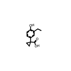 CCc1cc(C2(C(=O)O)CC2)ccc1O